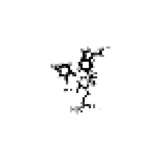 COC(=O)[C@H](CCN(C)C)NS(=O)(=O)c1cc2c(cnn2CC(C)C)cc1Oc1ccc(F)cc1F